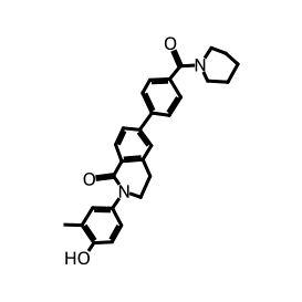 Cc1cc(N2CCc3cc(-c4ccc(C(=O)N5CCCCC5)cc4)ccc3C2=O)ccc1O